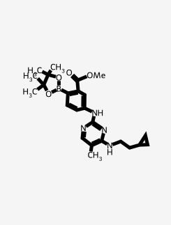 COC(=O)c1cc(Nc2ncc(C)c(NCCC3CC3)n2)ccc1B1OC(C)(C)C(C)(C)O1